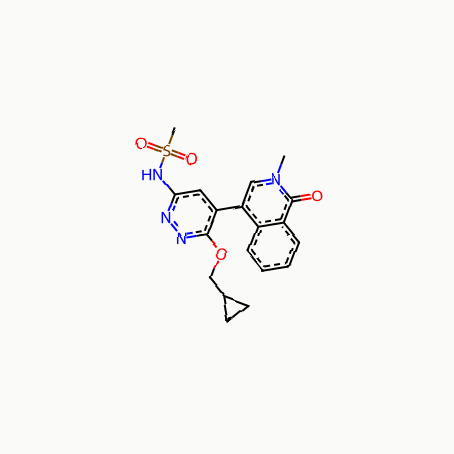 Cn1cc(-c2cc(NS(C)(=O)=O)nnc2OCC2CC2)c2ccccc2c1=O